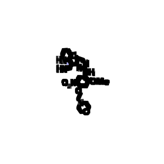 COc1cc(OCCN2CCOCC2)c([N+](=O)[O-])cc1Nc1ncc(Cl)c(/C(C=N)=C2\C=CC=CN2)n1